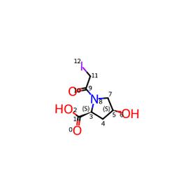 O=C(O)[C@@H]1C[C@H](O)CN1C(=O)CI